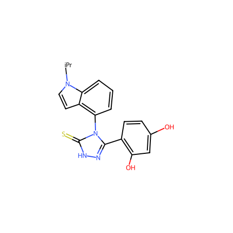 CC(C)n1ccc2c(-n3c(-c4ccc(O)cc4O)n[nH]c3=S)cccc21